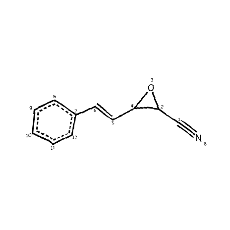 N#CC1OC1C=Cc1ccccc1